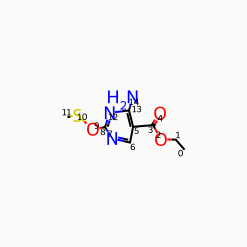 CCOC(=O)c1cnc(OSC)nc1N